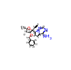 C#CC1(c2ccc3c(N)ncnn23)O[C@H](CC)[C@@H](C)[C@H]1OCc1ccccc1